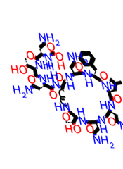 CC(C)C[C@@H]1NC(=O)[C@@H](Cc2ccccc2)NC(=O)[C@H](CCN)NC(=O)[C@@H](NC(=O)[C@H](CCN)NC(=O)[C@@H](NC(=O)[C@H](CCN)NC(=O)O)[C@@H](C)O)CCNC(=O)[C@H]([C@@H](C)O)NC(=O)[C@H](CCN)NC(=O)[C@H](CCN)NC1=O